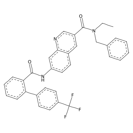 CCN(Cc1ccccc1)C(=O)c1cnc2cc(NC(=O)c3ccccc3-c3ccc(C(F)(F)F)cc3)ccc2c1